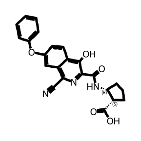 N#Cc1nc(C(=O)N[C@@H]2CCC[C@@H]2C(=O)O)c(O)c2ccc(Oc3ccccc3)cc12